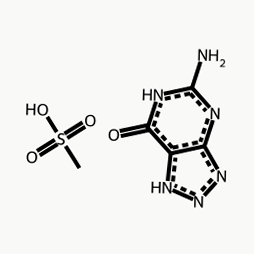 CS(=O)(=O)O.Nc1nc2nn[nH]c2c(=O)[nH]1